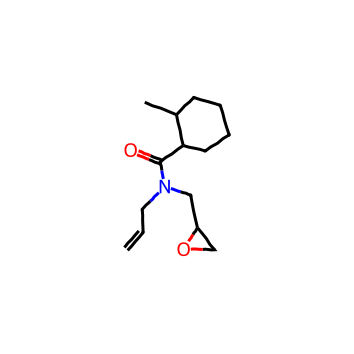 C=CCN(CC1CO1)C(=O)C1CCCCC1C